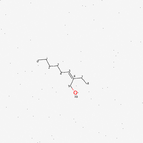 CCCCCC=C(CC)C[O]